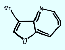 CC(C)c1coc2cccnc12